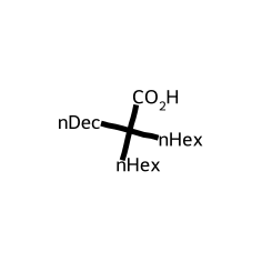 CCCCCCCCCCC(CCCCCC)(CCCCCC)C(=O)O